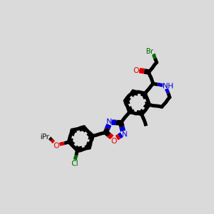 Cc1c(-c2noc(-c3ccc(OC(C)C)c(Cl)c3)n2)ccc2c1CCNC2C(=O)CBr